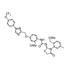 COCc1ccc(C)cc1N1C(=O)CS/C1=N\C(=O)Nc1ccc(OCc2ncn(-c3ccc(OC(F)(F)F)cc3)n2)cc1OC